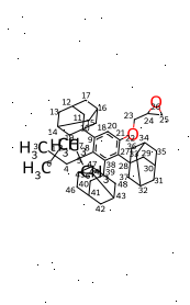 CC(C)(C)CC(C)(C)c1c(C23CC4CC(CC(C4)C2)C3)cc(OCC2CO2)c(C23CC4CC(CC(C4)C2)C3)c1C12CC3CC(CC(C3)C1)C2